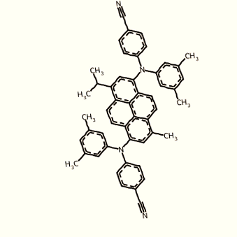 Cc1cc(C)cc(N(c2ccc(C#N)cc2)c2cc(C)c3ccc4c(N(c5ccc(C#N)cc5)c5cc(C)cc(C)c5)cc(C(C)C)c5ccc2c3c54)c1